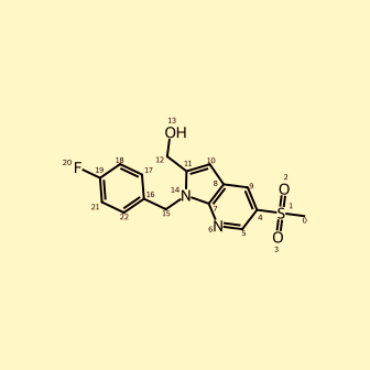 CS(=O)(=O)c1cnc2c(c1)cc(CO)n2Cc1ccc(F)cc1